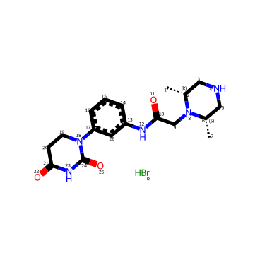 Br.C[C@@H]1CNC[C@H](C)N1CC(=O)Nc1cccc(N2CCC(=O)NC2=O)c1